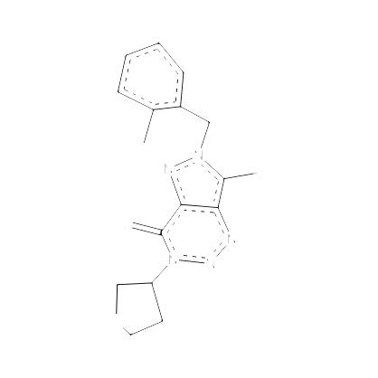 O=c1c2nn(Cc3ccccc3F)c(Cl)c2nnn1C1CCOC1